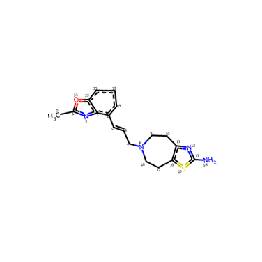 Cc1nc2c(C=CCN3CCc4nc(N)sc4CC3)cccc2o1